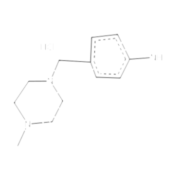 CN1CCN(Cc2ccc(N)cc2)CC1.Cl